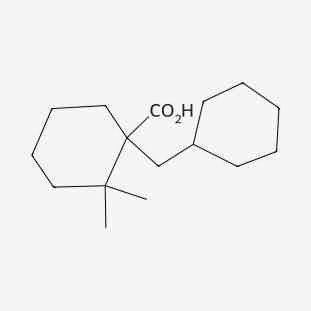 CC1(C)CCCCC1(CC1CCCCC1)C(=O)O